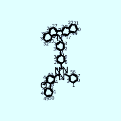 c1ccc(-c2nc(-c3ccc(-c4ccc(-n5c6cc7ccccc7cc6c6ccc7ccccc7c65)cc4)cc3)nc(-c3ccc4oc5ccccc5c4c3)n2)cc1